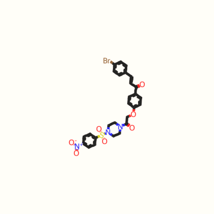 O=C(C=Cc1ccc(Br)cc1)c1ccc(OCC(=O)N2CCN(S(=O)(=O)c3ccc([N+](=O)[O-])cc3)CC2)cc1